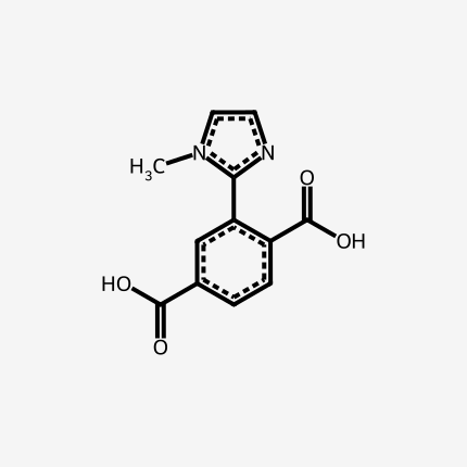 Cn1ccnc1-c1cc(C(=O)O)ccc1C(=O)O